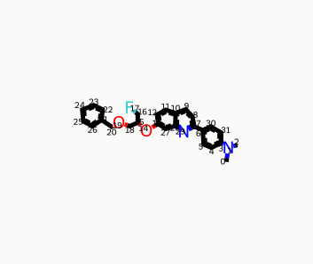 CN(C)c1ccc(-c2ccc3ccc(OC(CF)COCc4ccccc4)cc3n2)cc1